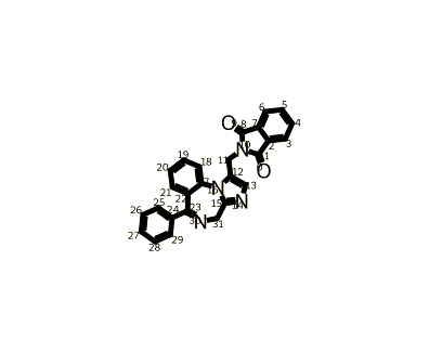 O=C1c2ccccc2C(=O)N1Cc1cnc2n1-c1ccccc1C(c1ccccc1)=NC2